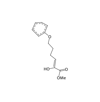 COC(=O)C(O)=CCCCOc1ccccc1